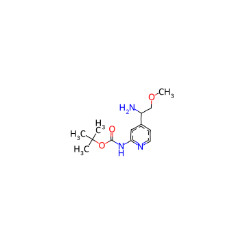 COCC(N)c1ccnc(NC(=O)OC(C)(C)C)c1